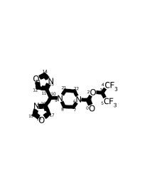 O=C(OC(C(F)(F)F)C(F)(F)F)N1CCN(C(c2cocn2)c2cocn2)CC1